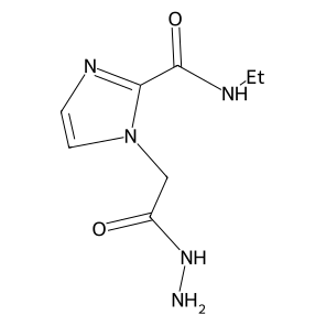 CCNC(=O)c1nccn1CC(=O)NN